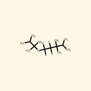 CC(C)C(C)(C)OC(F)(F)C(F)(F)C(C)(C)C(C)C